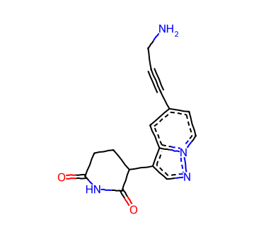 NCC#Cc1ccn2ncc(C3CCC(=O)NC3=O)c2c1